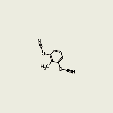 Cc1c(OC#N)cccc1OC#N